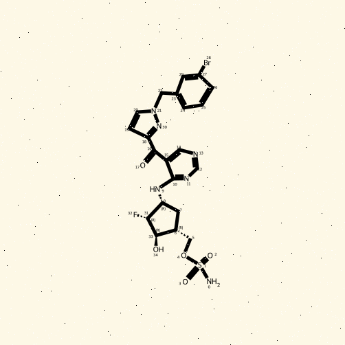 NS(=O)(=O)OC[C@H]1C[C@@H](Nc2ncncc2C(=O)c2ccn(Cc3cccc(Br)c3)n2)[C@@H](F)[C@@H]1O